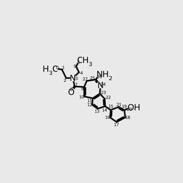 CCCN(CCC)C(=O)C1=Cc2ccc(-c3cccc(O)c3)cc2N=C(N)C1